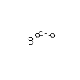 O=C(Nc1ccccc1)N1CCc2ccc(Oc3ccnc4c3CCC(O)N4)cc2C1